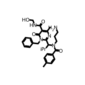 Cc1ccc(C(=O)N(CCCN)C(c2nc(C)c(C(=O)NCO)c(=O)n2Cc2ccccc2)C(C)C)cc1